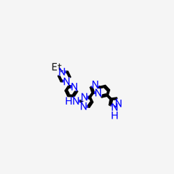 CCN1CCN(c2ccc(Nc3nccc(-c4cnc5ccc(-c6cn[nH]c6)cn45)n3)cn2)CC1